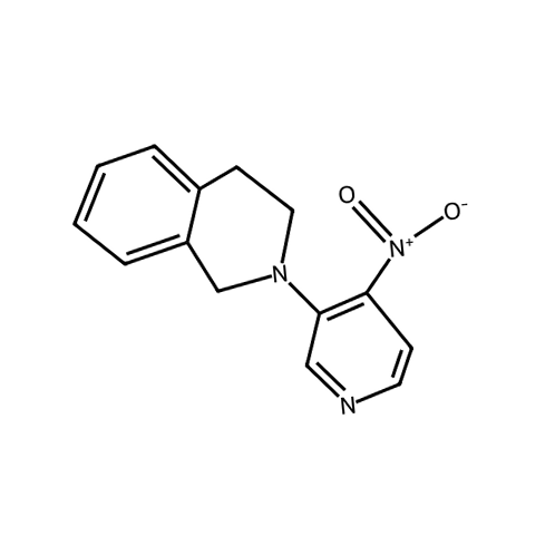 O=[N+]([O-])c1ccncc1N1CCc2ccccc2C1